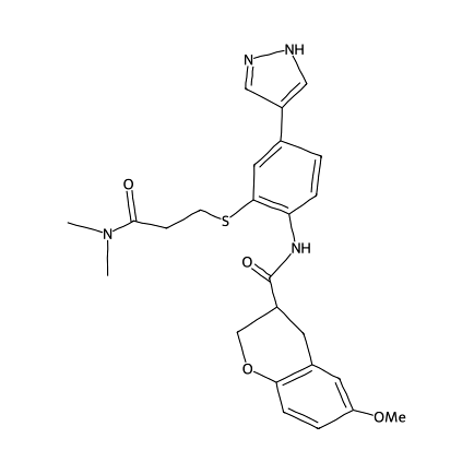 COc1ccc2c(c1)CC(C(=O)Nc1ccc(-c3cn[nH]c3)cc1SCCC(=O)N(C)C)CO2